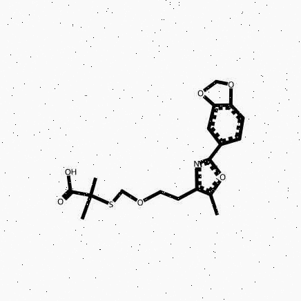 Cc1oc(-c2ccc3c(c2)OCO3)nc1CCOCSC(C)(C)C(=O)O